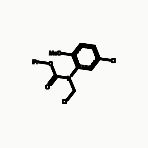 COc1ccc(Cl)cc1N(CCl)C(=O)OC(C)C